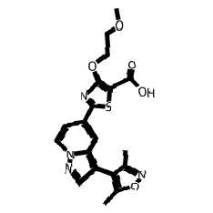 COCCOc1nc(-c2ccn3ncc(-c4c(C)noc4C)c3c2)sc1C(=O)O